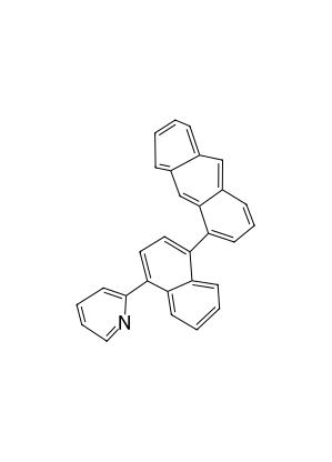 c1ccc(-c2ccc(-c3cccc4cc5ccccc5cc34)c3ccccc23)nc1